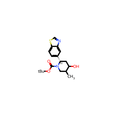 CC1CN(C(=O)OC(C)(C)C)[C@H](c2ccc3scnc3c2)CC1O